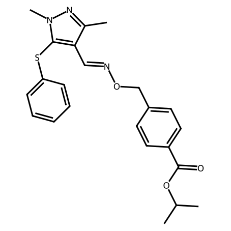 Cc1nn(C)c(Sc2ccccc2)c1/C=N/OCc1ccc(C(=O)OC(C)C)cc1